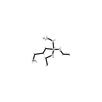 CCO[Si](CCCN)(O[SiH3])OCC